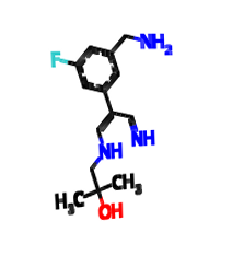 CC(C)(O)CN/C=C(\C=N)c1cc(F)cc(CN)c1